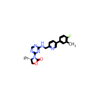 Cc1cc(-c2ccc(CNc3ncnc(N4C(=O)OC[C@@H]4C(C)C)n3)nc2)ccc1F